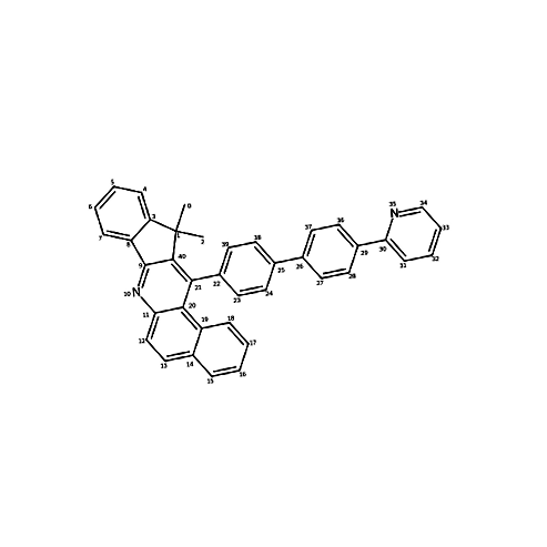 CC1(C)c2ccccc2-c2nc3ccc4ccccc4c3c(-c3ccc(-c4ccc(-c5ccccn5)cc4)cc3)c21